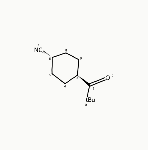 CC(C)(C)C(=O)[C@H]1CC[C@H](C#N)CC1